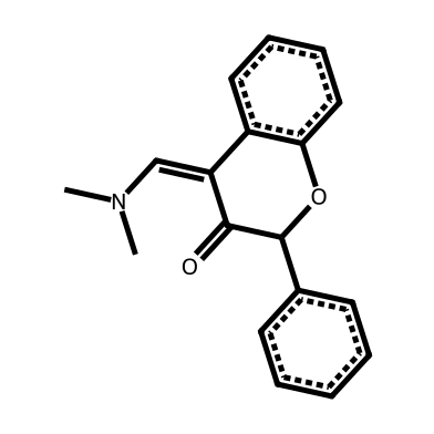 CN(C)C=C1C(=O)C(c2ccccc2)Oc2ccccc21